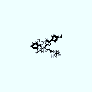 CN(C)c1cccc(Cl)c1C(=O)N[C@@H](CCCNC(=N)CF)c1ncc(-c2ccc(Cl)cc2)o1